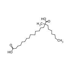 CCCCCCCC(C)(CCCCCCCCCCCCCC(=O)O)C(=O)O